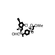 C#Cc1cc(Cl)c2cc(N(C=O)C(C)c3ccc(S(=O)(=O)CC(=O)OC)cc3)n(C)c2c1